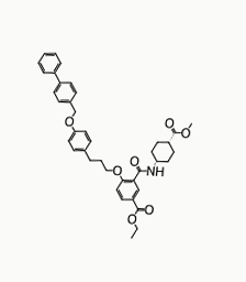 CCOC(=O)c1ccc(OCCCc2ccc(OCc3ccc(-c4ccccc4)cc3)cc2)c(C(=O)N[C@H]2CC[C@@H](C(=O)OC)CC2)c1